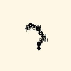 O=C(Cc1cccc(OC(F)(F)F)c1)Nc1ccc(N2CCC(c3nnc(NC(=O)Cc4cccc(N5CCC5)c4)s3)CC2)nn1